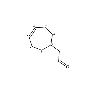 O=CCC1CCC=CCC1